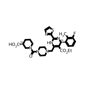 CCOC(=O)C1=C(CN2CCN(C(=O)N3CCC[C@H](C(=O)O)C3)CC2)NC(c2nccs2)=N[C@H]1c1cccc(F)c1C